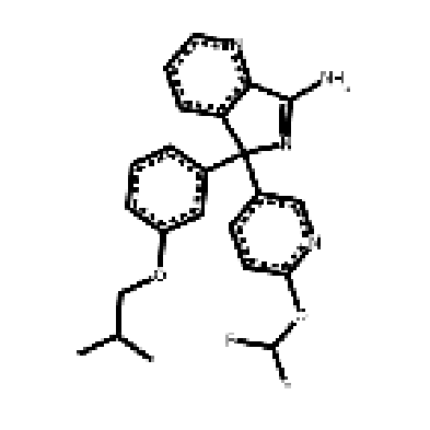 CC(C)COc1cccc(C2(c3ccc(OC(F)F)nc3)N=C(N)c3ncccc32)c1